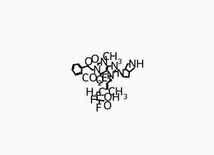 CCOC(=O)c1ccccc1C(=O)Cn1c(=O)c2c(nc(N3CCC4CNCC43)n2CC=C(C)C)n(C)c1=O.O=C(O)C(F)(F)F